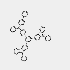 c1ccc(-c2ccc(N(c3ccccc3)c3ccc(-c4cc(-c5ccc6c(c5)c5ccccc5n6-c5ccccc5)cc(-c5ccc6c(c5)c5ccccc5n6-c5ccccc5)c4)cc3)cc2)cc1